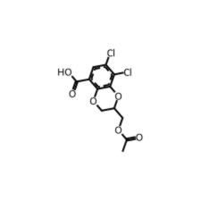 CC(=O)OCC1COc2c(C(=O)O)cc(Cl)c(Cl)c2O1